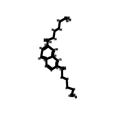 NCCCCNc1ccc2ccc(NCCCCN)nc2n1